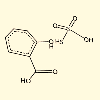 O=C(O)c1ccccc1O.O=S(=O)(O)S